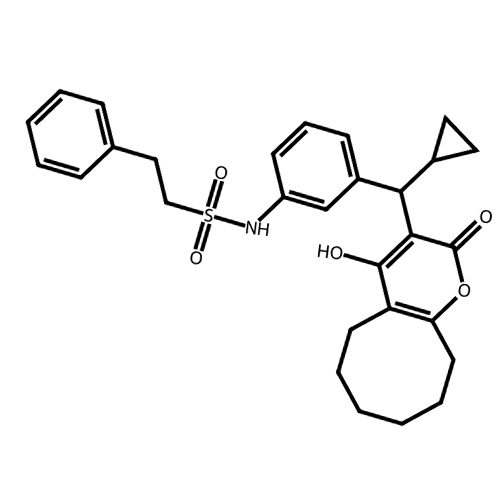 O=c1oc2c(c(O)c1C(c1cccc(NS(=O)(=O)CCc3ccccc3)c1)C1CC1)CCCCCC2